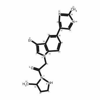 CCc1cn(CC(=O)N2NCCC2C)c2ccc(-c3cnc(C)nc3)cc12